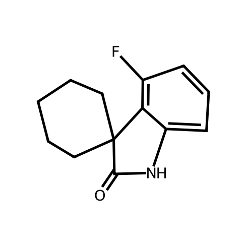 O=C1Nc2cccc(F)c2C12CCCCC2